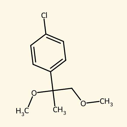 COCC(C)(OC)c1ccc(Cl)cc1